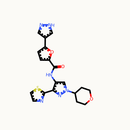 O=C(Nc1cn(C2CCOCC2)nc1-c1nccs1)c1ccc(-c2cn[nH]c2)o1